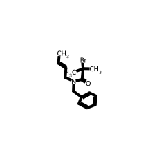 C/C=C/CN(Cc1ccccc1)C(=O)C(C)(C)Br